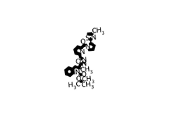 Cc1csc([C@H]2CCCN2C(=O)c2cccc(-c3nnc([C@@](C)(Cc4ccccc4)NC(=O)OC(C)(C)C)o3)n2)n1